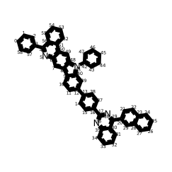 c1ccc(-c2nc3cc4c5ccc(-c6ccc(-c7nc(-c8ccc9ccccc9c8)c8ccccc8n7)cc6)cc5n(-c5ccccc5)c4cc3c3ccccc23)cc1